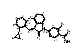 Cc1cccc2c1/C(=C\c1c(Cl)cccc1C1CC1)C(=O)N2c1ccc(C(=O)O)c(Cl)c1